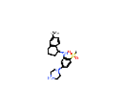 COc1ccc2c(c1)CCCC2Nc1cc(N2CCNCC2)ccc1S(C)(=O)=O